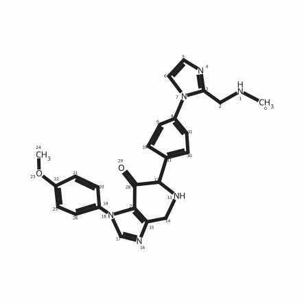 CNCc1nccn1-c1ccc(C2NCc3ncn(-c4ccc(OC)cc4)c3C2=O)cc1